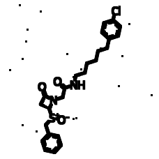 O=C(CN1C(=O)C[C@@H]1[S@@+]([O-])Cc1ccccc1)NCCCCCCc1ccc(Cl)cc1